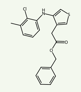 Cc1cccc(Nc2cscc2CC(=O)OCc2ccccc2)c1Cl